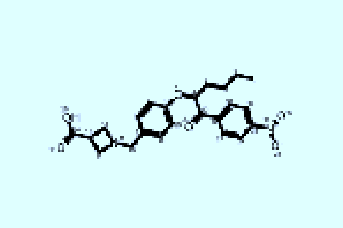 CCCCC(Oc1ccc(CN2CC(C(=O)O)C2)cc1)C(=O)c1ccc([N+](=O)[O-])cc1